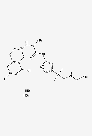 Br.Br.CCCC(N[C@H]1CCc2cc(F)cc(Cl)c2C1)C(=O)Nc1cn(C(C)(C)CNCC(C)(C)C)cn1